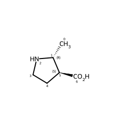 C[C@H]1NCC[C@@H]1C(=O)O